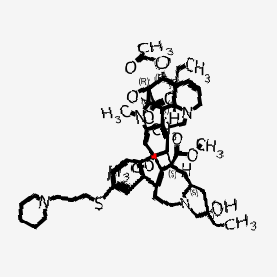 CC[C@]1(O)C[C@H]2CN(CCC3=C(Cc4ccc(SCCCN5CCCCC5)cc43)[C@@](C(=O)OC)(C3C=C4C(=CC3OC)N(C)[C@@]35O[C@]3(C(=O)OC)[C@H](OC(C)=O)[C@]3(CC)C=CCN6CC[C@]45[C@@H]63)C2)C1